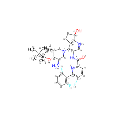 C[C@H]1CN(c2c(NC(=O)c3ccc(F)c(-c4c(F)cccc4F)n3)cnc3c2CC[C@H]3O)C[C@@H](N)[C@@H]1O[Si](C)(C)C(C)(C)C